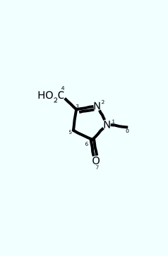 CN1N=C(C(=O)O)CC1=O